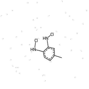 Cc1ccc(NCl)c(NCl)c1